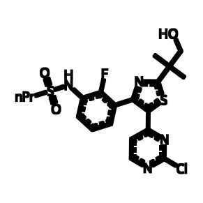 CCCS(=O)(=O)Nc1cccc(-c2nc(C(C)(C)CO)sc2-c2ccnc(Cl)n2)c1F